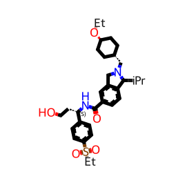 CCO[C@H]1CC[C@H](CN2Cc3cc(C(=O)N[C@@H](CCO)c4ccc(S(=O)(=O)CC)cc4)ccc3C2C(C)C)CC1